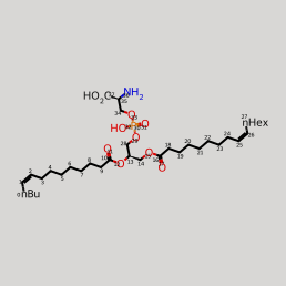 CCCC/C=C\CCCCCCCC(=O)O[C@H](COC(=O)CCCCCCC/C=C\CCCCCC)COP(=O)(O)OC[C@H](N)C(=O)O